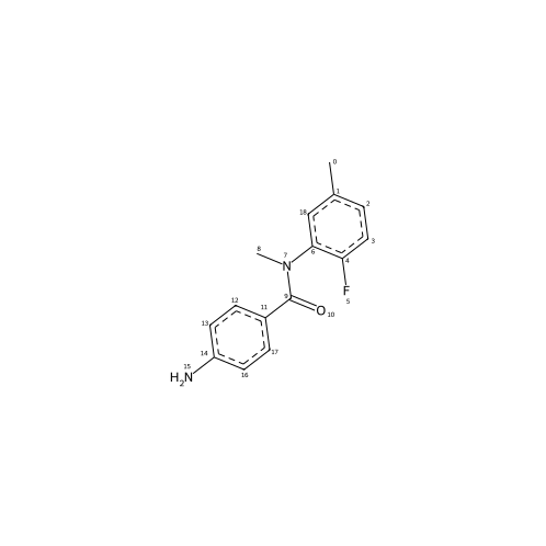 Cc1ccc(F)c(N(C)C(=O)c2ccc(N)cc2)c1